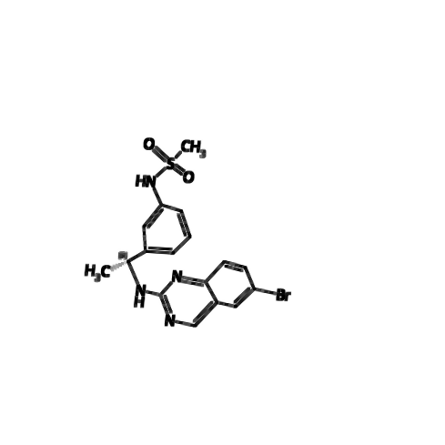 C[C@@H](Nc1ncc2cc(Br)ccc2n1)c1cccc(NS(C)(=O)=O)c1